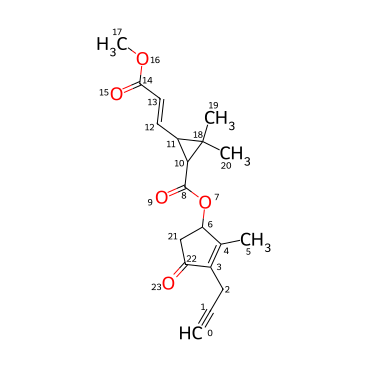 C#CCC1=C(C)C(OC(=O)C2C(C=CC(=O)OC)C2(C)C)CC1=O